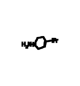 CC(C)C1=CCN(N)CC1